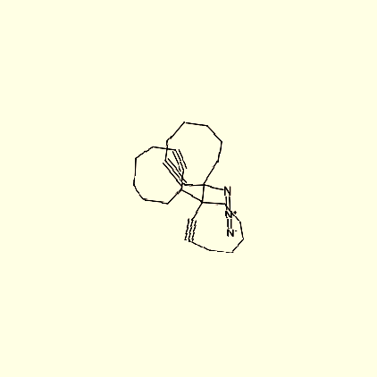 [N-]=[N+]=NC1(C2(C3C#CCCCCC3)C#CCCCCC2)C#CCCCCC1